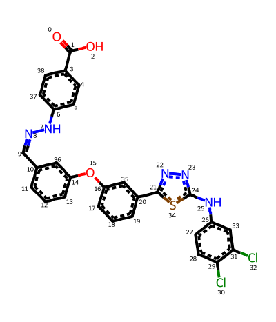 O=C(O)c1ccc(N/N=C\c2cccc(Oc3cccc(-c4nnc(Nc5ccc(Cl)c(Cl)c5)s4)c3)c2)cc1